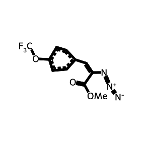 COC(=O)/C(=C\c1ccc(OC(F)(F)F)cc1)N=[N+]=[N-]